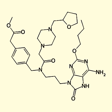 CCCCOc1nc(N)c2[nH]c(=O)n(CCCN(Cc3ccc(CC(=O)OC)cc3)C(=O)CN3CCN(CC4CCCO4)CC3)c2n1